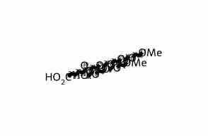 COCCOCCOCCOCCO.COCCOCCOCCOCCOCCOC(=O)CCCCC(=O)O